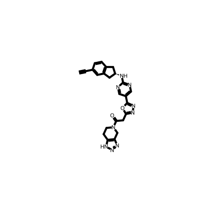 C#Cc1ccc2c(c1)C[C@@H](Nc1ncc(-c3nnc(CC(=O)N4CCc5[nH]nnc5C4)o3)cn1)C2